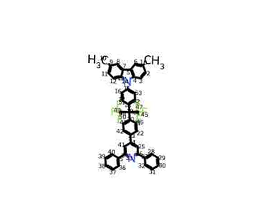 Cc1ccc2c(c1)c1cc(C)ccc1n2-c1ccc(C(c2ccc(-c3cc(-c4ccccc4)nc(-c4ccccc4)c3)cc2)(C(F)(F)F)C(F)(F)F)cc1